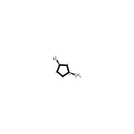 CC[C@@H]1CC[C@H](C)C1